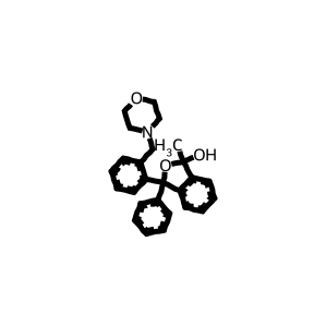 CC1(O)OC(c2ccccc2)(c2ccccc2CN2CCOCC2)c2ccccc21